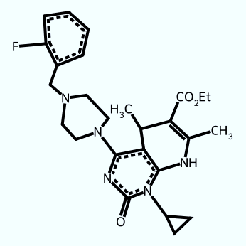 CCOC(=O)C1=C(C)Nc2c(c(N3CCN(Cc4ccccc4F)CC3)nc(=O)n2C2CC2)C1C